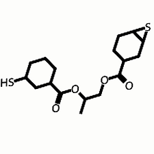 CC(COC(=O)C1CCC2SC2C1)OC(=O)C1CCCC(S)C1